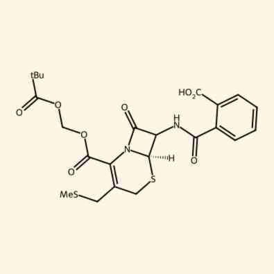 CSCC1=C(C(=O)OCOC(=O)C(C)(C)C)N2C(=O)C(NC(=O)c3ccccc3C(=O)O)[C@H]2SC1